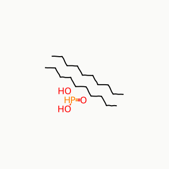 CCCCCCCCCC.CCCCCCCCCC.O=[PH](O)O